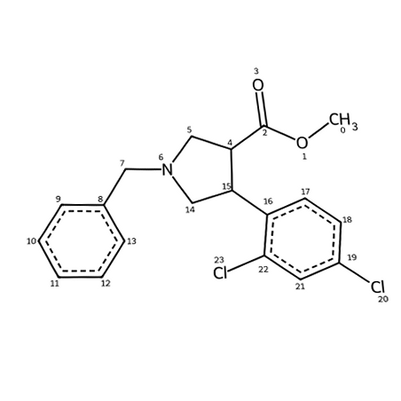 COC(=O)C1CN(Cc2ccccc2)CC1c1ccc(Cl)cc1Cl